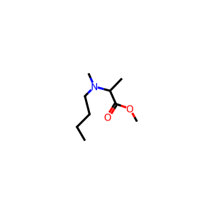 CCCCN(C)C(C)C(=O)OC